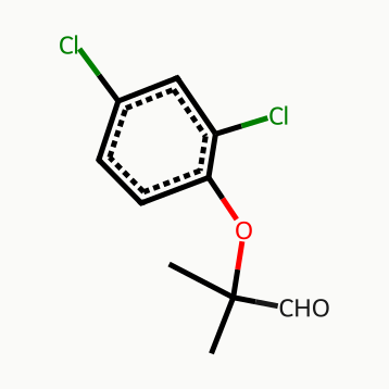 CC(C)(C=O)Oc1ccc(Cl)cc1Cl